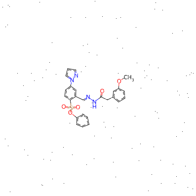 COc1cccc(CC(=O)NN=Cc2cc(-n3cccn3)ccc2S(=O)(=O)Oc2ccccc2)c1